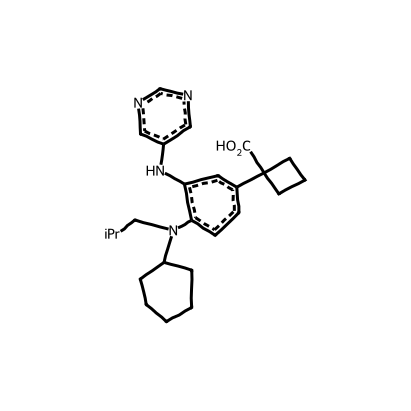 CC(C)CN(c1ccc(C2(C(=O)O)CCC2)cc1Nc1cncnc1)C1CCCCC1